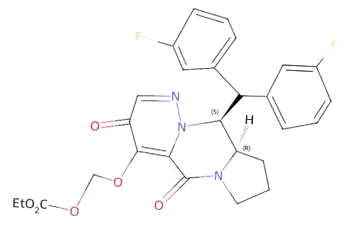 CCOC(=O)OCOc1c2n(ncc1=O)[C@@H](C(c1cccc(F)c1)c1cccc(F)c1)[C@H]1CCCN1C2=O